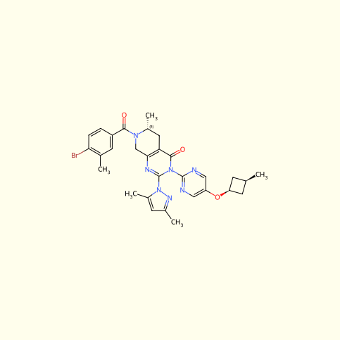 Cc1cc(C)n(-c2nc3c(c(=O)n2-c2ncc(O[C@H]4C[C@@H](C)C4)cn2)C[C@@H](C)N(C(=O)c2ccc(Br)c(C)c2)C3)n1